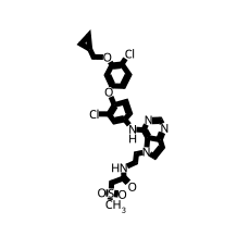 CS(=O)(=O)CC(=O)NCCn1ccc2ncnc(Nc3ccc(Oc4ccc(Cl)c(OCC5CC5)c4)c(Cl)c3)c21